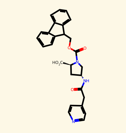 O=C(Cc1ccncc1)N[C@@H]1C[C@@H](C(=O)O)N(C(=O)OCC2c3ccccc3-c3ccccc32)C1